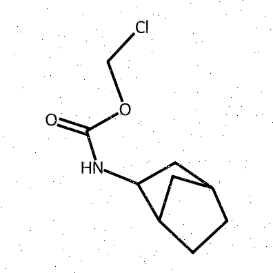 O=C(NC1CC2CCC1C2)OCCl